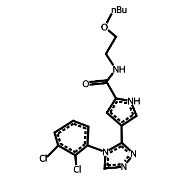 CCCCOCCNC(=O)c1cc(-c2nncn2-c2cccc(Cl)c2Cl)c[nH]1